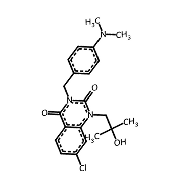 CN(C)c1ccc(Cn2c(=O)c3ccc(Cl)cc3n(CC(C)(C)O)c2=O)cc1